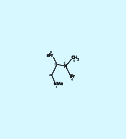 CCCC(CNC)N(C)C(C)C